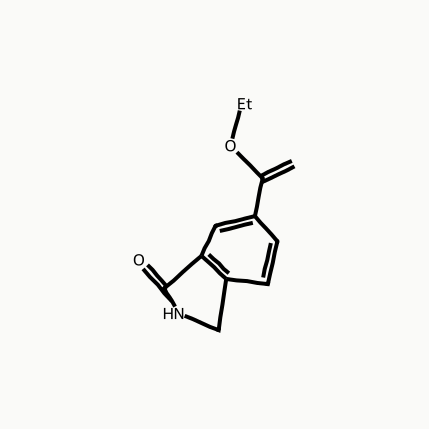 C=C(OCC)c1ccc2c(c1)C(=O)NC2